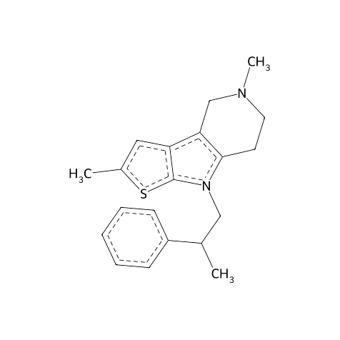 Cc1cc2c3c(n(CC(C)c4ccccc4)c2s1)CCN(C)C3